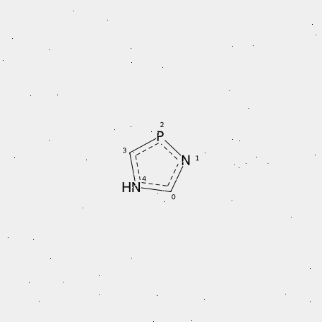 c1npc[nH]1